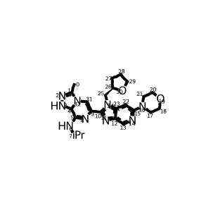 CC1=NNC2C(NC(C)C)=NC(c3nc4cnc(N5CCOCC5)cc4n3C[C@H]3CCCO3)=CN12